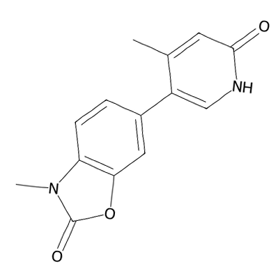 Cc1cc(=O)[nH]cc1-c1ccc2c(c1)oc(=O)n2C